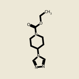 CCOC(=O)N1CCC(n2cnnc2)CC1